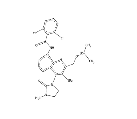 CN1CCN(c2c(C(C)(C)C)c(CO[SiH](C)C)nc3c(NC(=O)c4c(Cl)cccc4Cl)cccc23)C1=S